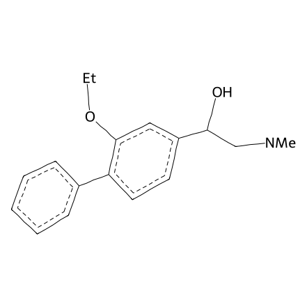 CCOc1cc(C(O)CNC)ccc1-c1ccccc1